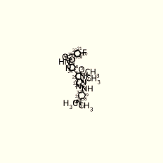 CC(C)n1c(=O)c(-c2ccc(NS(=O)(=O)Cc3ccc(F)cc3)nc2)cc2cnc(N[C@H]3CC[C@H](N(C)C)CC3)nc21